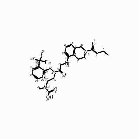 CCCC(=O)N1CCc2c(cccc2NCC(=O)N(CCN(C)C(=O)O)Cc2ncccc2C(F)(F)F)C1